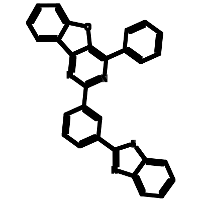 c1ccc(-c2nc(-c3cccc(-c4nc5ccccc5s4)c3)nc3c2oc2ccccc23)cc1